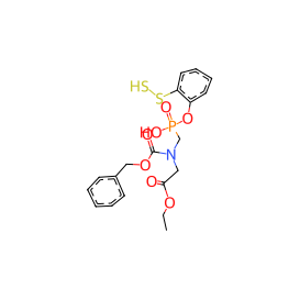 CCOC(=O)CN(CP(=O)(O)Oc1ccccc1SS)C(=O)OCc1ccccc1